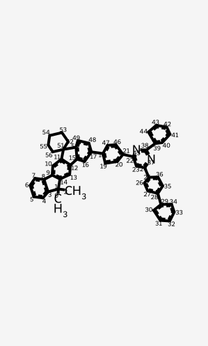 CC1(C)c2ccccc2-c2cc3c(cc21)-c1cc(-c2ccc(-c4cc(-c5ccc(-c6ccccc6)cc5)nc(-c5ccccc5)n4)cc2)ccc1C31CCCCC1